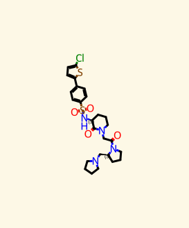 O=C1[C@@H](NS(=O)(=O)c2ccc(-c3ccc(Cl)s3)cc2)CCCN1CC(=O)N1CCC[C@H]1CN1CCCC1